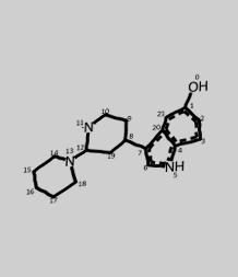 Oc1ccc2[nH]cc(C3CC[N]C(N4CCCCC4)C3)c2c1